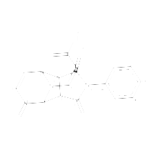 CC(C)(C)C(=O)C=CN1C2C=CC(=O)C1C1C(=O)N(c3ccccc3)C(=O)C12